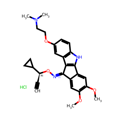 C#C[C@H](O/N=C1/c2cc(OC)c(OC)cc2-c2[nH]c3ccc(OCCN(C)C)cc3c21)C1CC1.Cl